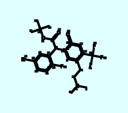 CN(C)CCc1cn(C(C(=O)OC(C)(C)C)c2cc(Br)ccc2F)c(=O)cc1C(F)(F)F